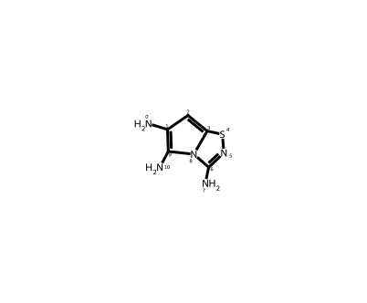 Nc1cc2snc(N)n2c1N